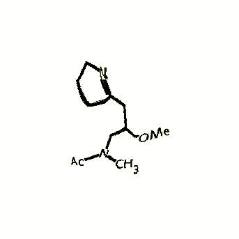 COC(CC1=NCCC1)CN(C)C(C)=O